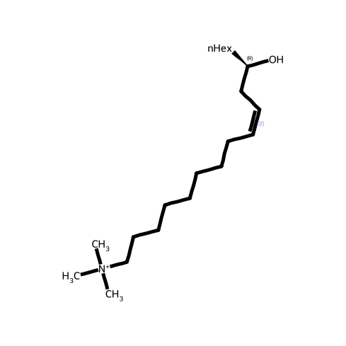 CCCCCC[C@@H](O)C/C=C\CCCCCCCC[N+](C)(C)C